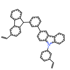 C=Cc1cccc(-n2c3ccccc3c3cc(-c4cccc(C5c6ccccc6-c6cc(C=C)ccc65)c4)ccc32)c1